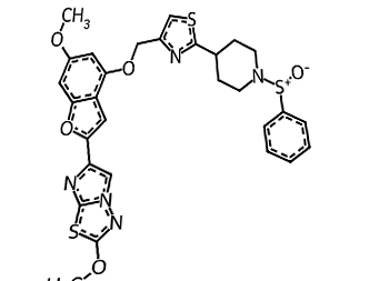 COc1cc(OCc2csc(C3CCN([S+]([O-])c4ccccc4)CC3)n2)c2cc(-c3cn4nc(OC)sc4n3)oc2c1